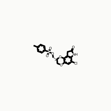 Cc1ccc(S(=O)(=O)OC[C@H]2COc3cc(Cl)c4c(c3O2)CC(=O)N4)cc1